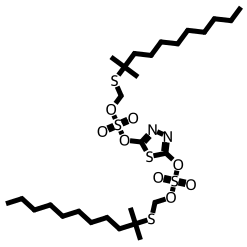 CCCCCCCCCC(C)(C)SCOS(=O)(=O)Oc1nnc(OS(=O)(=O)OCSC(C)(C)CCCCCCCCC)s1